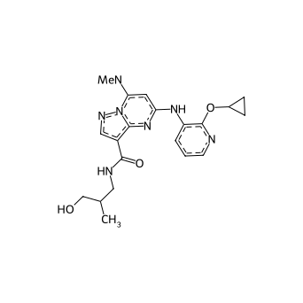 CNc1cc(Nc2cccnc2OC2CC2)nc2c(C(=O)NCC(C)CO)cnn12